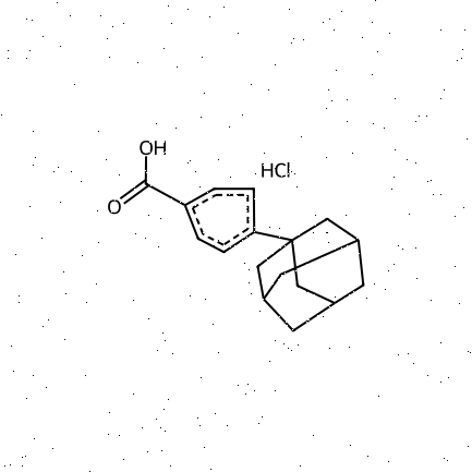 Cl.O=C(O)c1ccc(C23CC4CC(CC(C4)C2)C3)cc1